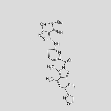 CCC(C)NC(=N)c1c(O)nsc1Nc1cccc(C(=O)n2ccc(/C(C)=C\C(C)c3ccon3)c2C)n1